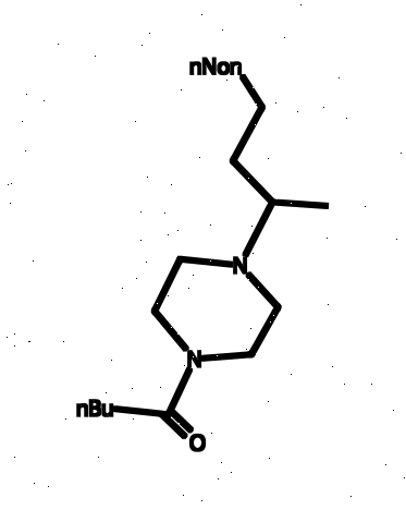 CCCCCCCCCCCC(C)N1CCN(C(=O)CCCC)CC1